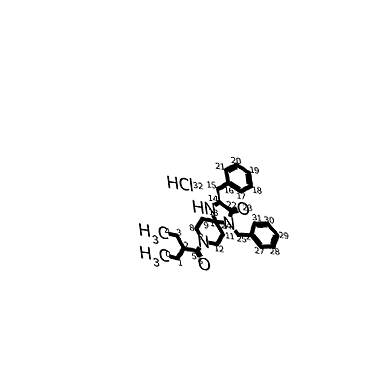 CCC(CC)C(=O)N1CCC2(CC1)N[C@@H](Cc1ccccc1)C(=O)N2Cc1ccccc1.Cl